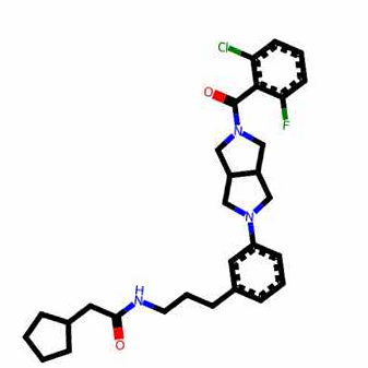 O=C(CC1CCCC1)NCCCc1cccc(N2CC3CN(C(=O)c4c(F)cccc4Cl)CC3C2)c1